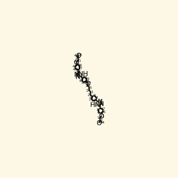 c1cc(-c2nnc(-c3ccc(OCC4CO4)cc3)[nH]2)ccc1CCCCCOc1ccc(-c2nnc(-c3ccc(OCC4CO4)cc3)[nH]2)cc1